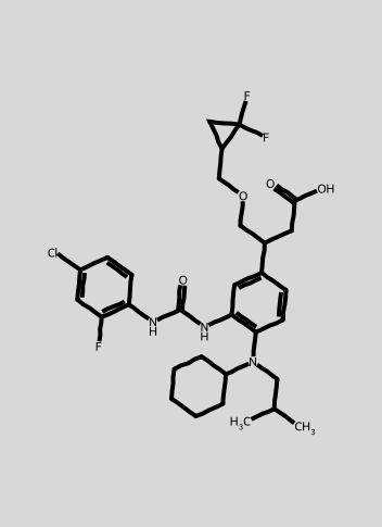 CC(C)CN(c1ccc(C(COCC2CC2(F)F)CC(=O)O)cc1NC(=O)Nc1ccc(Cl)cc1F)C1CCCCC1